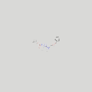 CCCCOC(=O)NCCN(C)CCCOCc1ccccc1